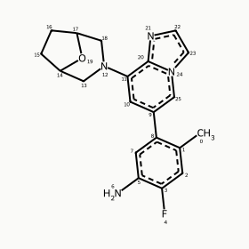 Cc1cc(F)c(N)cc1-c1cc(N2CC3CCC(C2)O3)c2nccn2c1